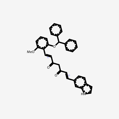 COc1cccc(OC(c2ccccc2)c2ccccc2)c1/C=C/C(=O)CC(=O)/C=C/c1ccc2cc[nH]c2c1